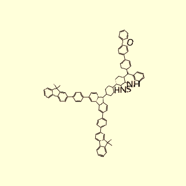 CC1(C)c2ccccc2-c2ccc(-c3ccc(C4=CC5C6C=C(c7ccc(-c8ccc9c(c8)C(C)(C)c8ccccc8-9)cc7)C=CC6C(C6CCC(C7CCC(C(c8ccccc8)C8C=CC(c9ccc%10c(c9)oc9ccccc9%10)=CC8)C8NSNC78)CC6)C5C=C4)cc3)cc21